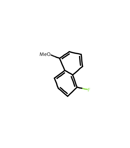 COc1cccc2c(F)cccc12